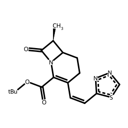 C[C@@H]1C(=O)N2C(C(=O)OC(C)(C)C)=C(/C=C\c3nncs3)CCC12